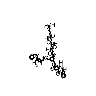 C=C(/C=C(/N)CC(OC)N1c2ccccc2C[C@H]1C)OCc1cc(COc2cc3c(cc2OC)C(=O)N2c4ccccc4C[C@H]2CN3)cc(N(C)C(=O)CNC(=O)CNC(=O)CNC(=O)CCCCC(=O)O)c1